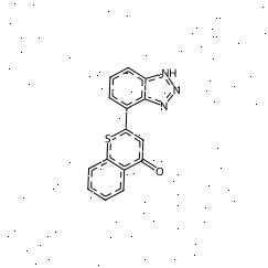 O=c1cc(-c2cccc3[nH]nnc23)sc2ccccc12